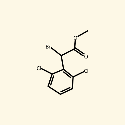 COC(=O)C(Br)c1c(Cl)cccc1Cl